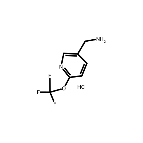 Cl.NCc1ccc(OC(F)(F)F)nc1